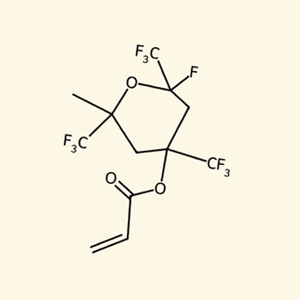 C=CC(=O)OC1(C(F)(F)F)CC(C)(C(F)(F)F)OC(F)(C(F)(F)F)C1